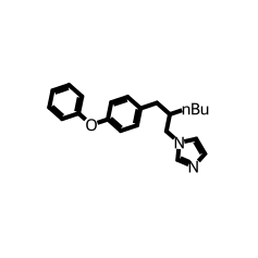 CCCCC(Cc1ccc(Oc2ccccc2)cc1)Cn1ccnc1